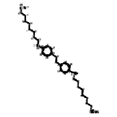 CCCCCCCCCCCCCCCCCCNc1ccc(C=Cc2ccc(NCCCCCCCCCCCCCCCCCC)cc2)cc1